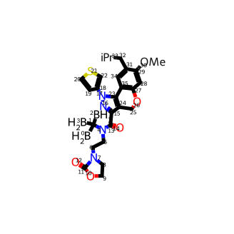 BC(B)(B)N(CCN1CCOC1=O)C(=O)c1nn(-c2ccsc2)c2c1COc1cc(OC)c(CC(C)C)cc1-2